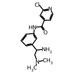 CN(C)CC(N)c1cccc(NC(=O)c2ccnc(Cl)c2)c1